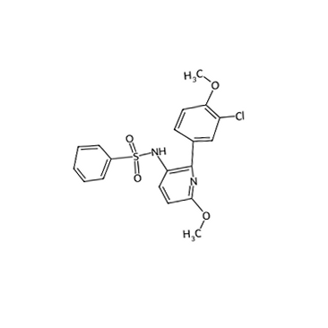 COc1ccc(NS(=O)(=O)c2ccccc2)c(-c2ccc(OC)c(Cl)c2)n1